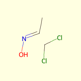 CC=NO.ClCCl